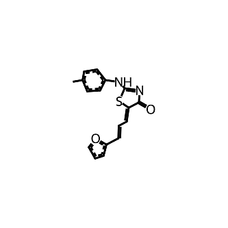 Cc1ccc(NC2=NC(=O)/C(=C/C=C/c3ccco3)S2)cc1